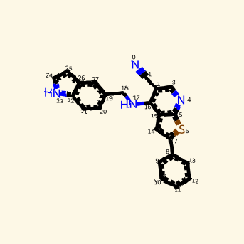 N#Cc1cnc2sc(-c3ccccc3)cc2c1NCc1ccc2[nH]ccc2c1